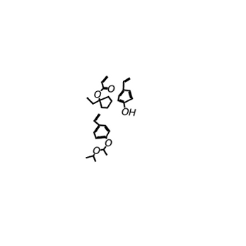 C=CC(=O)OC1(CC)CCCC1.C=Cc1ccc(O)cc1.C=Cc1ccc(OC(C)OC(C)C)cc1